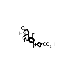 CN(c1cc(F)c(C2CCC(=O)NC2=O)c(F)c1)[C@H]1C[C@H](C(=O)O)C1